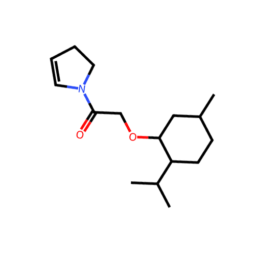 CC1CCC(C(C)C)C(OCC(=O)N2C=CCC2)C1